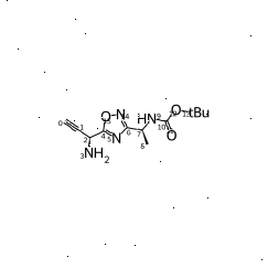 C#C[C@H](N)c1nc([C@H](C)NC(=O)OC(C)(C)C)no1